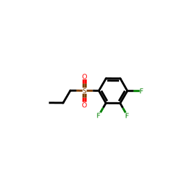 CCCS(=O)(=O)c1ccc(F)c(F)c1F